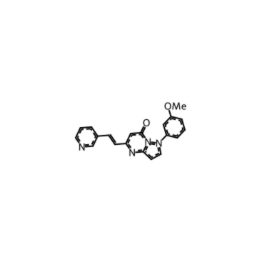 COc1cccc(-n2ccc3nc(/C=C/c4cccnc4)cc(=O)n32)c1